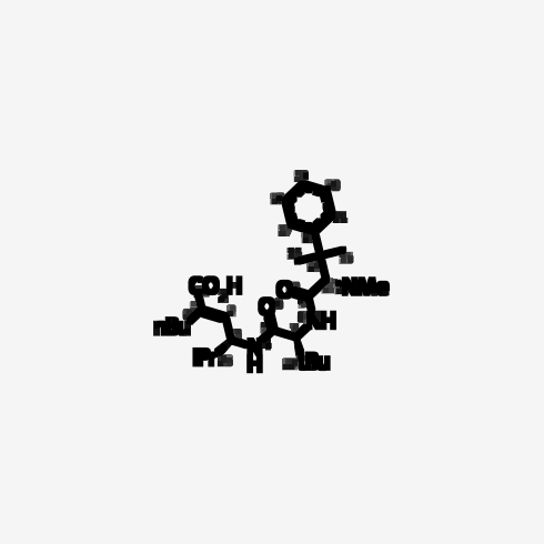 CCCCC(=C[C@@H](NC(=O)[C@@H](NC(=O)[C@@H](NC)C(C)(C)c1ccccc1)C(C)(C)C)C(C)C)C(=O)O